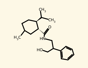 CC1CC[C@@H](C(C)C)[C@H](C(=O)NCC(CO)c2ccccc2)C1